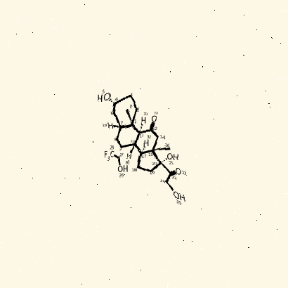 C[C@]12CC[C@@H](O)C[C@H]1CC[C@@H]1[C@@H]2C(=O)C[C@@]2(C)[C@H]1CC[C@]2(O)C(=O)CO.OCC(F)(F)F